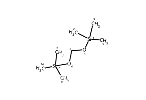 C[Si](C)(C)OCO[Si](C)(C)C